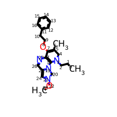 CCCN1CC(C)=C(OCCc2ccccc2)C2=C1N1CN(OC)C=C1C=N2